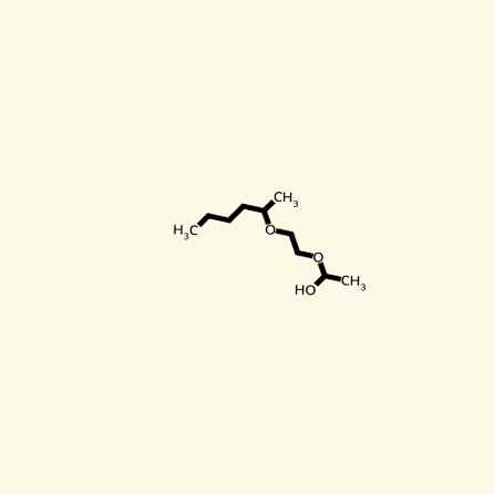 CCCCC(C)OCCOC(C)O